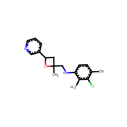 Cc1c(NCC2(C)CC(c3cccnc3)O2)ccc(C#N)c1Cl